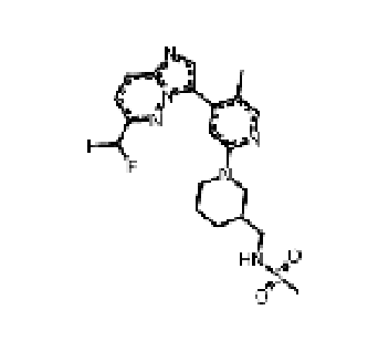 Cc1cnc(N2CCCC(CNS(C)(=O)=O)C2)cc1-c1cnc2ccc(C(F)F)nn12